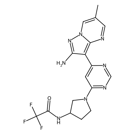 Cc1cnc2c(-c3cc(N4CCC(NC(=O)C(F)(F)F)C4)ncn3)c(N)nn2c1